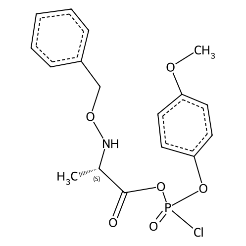 COc1ccc(OP(=O)(Cl)OC(=O)[C@H](C)NOCc2ccccc2)cc1